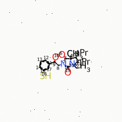 CCCC(CCC)C1(C)C(=O)N(CC(=O)c2cccc(S)c2)C(=O)N1C